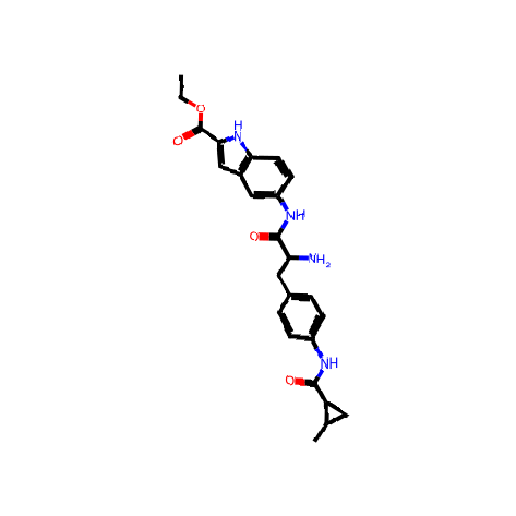 CCOC(=O)c1cc2cc(NC(=O)C(N)Cc3ccc(NC(=O)C4CC4C)cc3)ccc2[nH]1